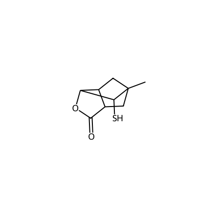 CC12CC3C(=O)OC(C3C1)C2S